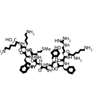 CSCC[C@H](NC(=O)[C@@H](NC(=O)C(NC(=O)[C@H](Cc1ccc(O)cc1)NC(=O)[C@H](Cc1ccccc1)NC(=O)[C@H](CCCNC(=N)N)NC(=O)[C@@H](N)CCCCN)C(C)C)C(C)C)C(=O)N[C@@H](Cc1c[nH]c2ccccc12)C(=O)N[C@@H](CCCCN)C(=O)N[C@@H](CCCCN)C(=O)O